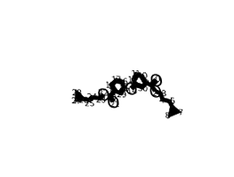 O=C(OCCCC1CC1)c1cccc(Oc2cccc(C(=O)OCCCC3CC3)c2)c1